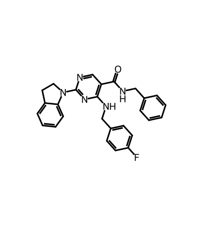 O=C(NCc1ccccc1)c1cnc(N2CCc3ccccc32)nc1NCc1ccc(F)cc1